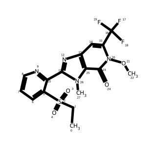 CCS(=O)(=O)c1cccnc1-c1nc2cc(C(F)(F)F)n(OC)c(=O)c2n1C